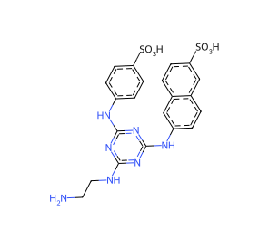 NCCNc1nc(Nc2ccc(S(=O)(=O)O)cc2)nc(Nc2ccc3cc(S(=O)(=O)O)ccc3c2)n1